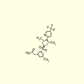 Cc1cc(CC(=O)O)cc(S(=O)(=O)N2CC(C)N(c3ccc(C(F)(F)F)cn3)C(C)C2)c1